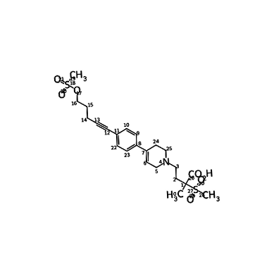 CC(CCN1CC=C(c2ccc(C#CCCCOS(C)(=O)=O)cc2)CC1)(C(=O)O)S(C)(=O)=O